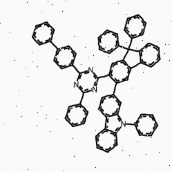 c1ccc(-c2ccc(-c3nc(-c4ccccc4)nc(-c4cc5c(cc4-c4ccc6c7ccccc7n(-c7ccccc7)c6c4)-c4ccccc4C5(c4ccccc4)c4ccccc4)n3)cc2)cc1